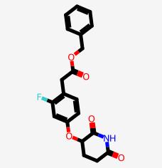 O=C1CCC(Oc2ccc(CC(=O)OCc3ccccc3)c(F)c2)C(=O)N1